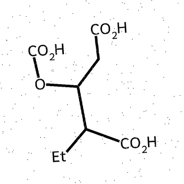 CCC(C(=O)O)C(CC(=O)O)OC(=O)O